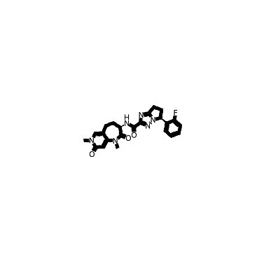 CN1C(=O)[C@@H](NC(=O)c2nc3n(n2)[C@H](c2ccccc2F)CC3)CCc2cn(C)c(=O)cc21